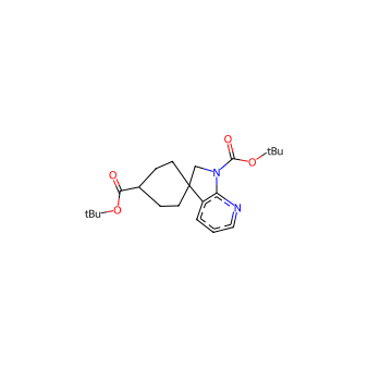 CC(C)(C)OC(=O)C1CCC2(CC1)CN(C(=O)OC(C)(C)C)c1ncccc12